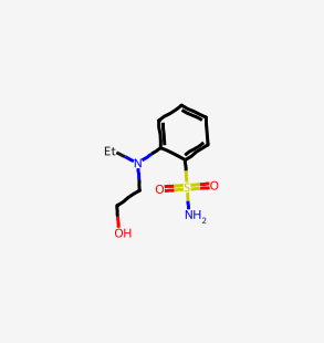 CCN(CCO)c1ccccc1S(N)(=O)=O